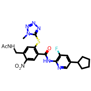 CC(=O)NCc1cc(Sc2nnnn2C)c(C(=O)Nc2ncc(C3CCCC3)cc2F)cc1[N+](=O)[O-]